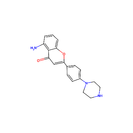 Nc1cccc2oc(-c3ccc(N4CCNCC4)cc3)cc(=O)c12